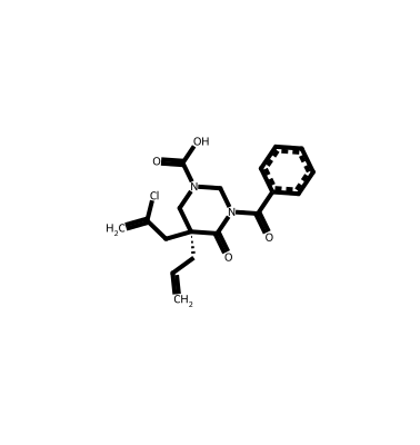 C=CC[C@]1(CC(=C)Cl)CN(C(=O)O)CN(C(=O)c2ccccc2)C1=O